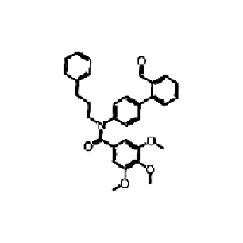 COc1cc(C(=O)N(CCCc2ccccc2)c2ccc(-c3ccccc3C=O)cc2)cc(OC)c1OC